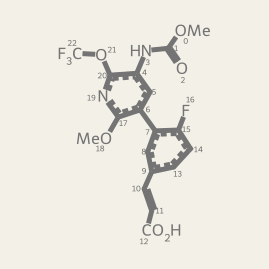 COC(=O)Nc1cc(-c2cc(/C=C/C(=O)O)ccc2F)c(OC)nc1OC(F)(F)F